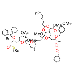 C=C1C[C@@H](C[C@]2(OC)O[C@H](CC(CC(=O)SC(C)(C)C)O[Si](c3ccccc3)(c3ccccc3)C(C)(C)C)C[C@H](OC(C)=O)C2(C)C)O[C@@H](C=CC(C)(C)[C@]2(OC)O[C@H](C[C@@H](OCc3ccc(OC)cc3)[C@@H](C)OCOCc3ccccc3)CC(=CC(=O)OC)[C@@H]2OC(=O)C=CC=CCCC)C1